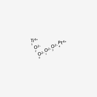 [O-2].[O-2].[O-2].[O-2].[Pt+4].[Ti+4]